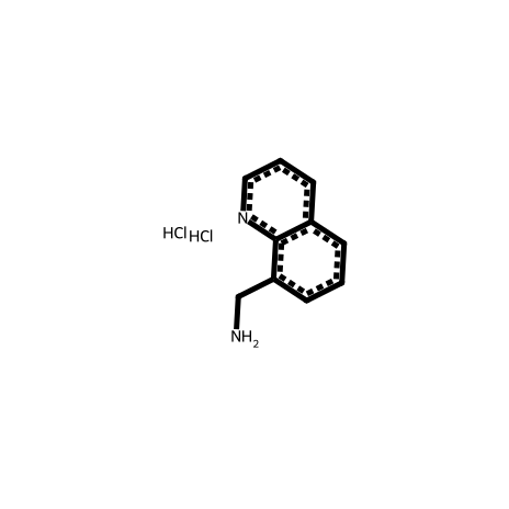 Cl.Cl.NCc1cccc2cccnc12